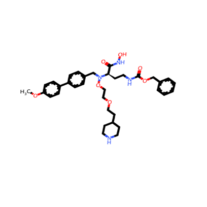 COc1ccc(-c2ccc(CN(OCCOCCC3CCNCC3)[C@H](CCNC(=O)OCc3ccccc3)C(=O)NO)cc2)cc1